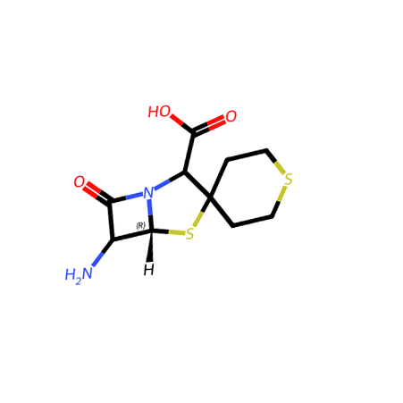 NC1C(=O)N2C(C(=O)O)C3(CCSCC3)S[C@H]12